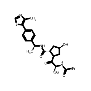 Cc1ncsc1-c1ccc([C@H](C)NC(=O)[C@@H]2C[C@@H](O)CC2C(=O)[C@@H](NC(=O)C(C)C)C(C)(C)C)cc1